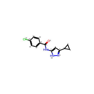 O=C(Nc1cc(C2CC2)n[nH]1)c1ccc(Cl)cc1